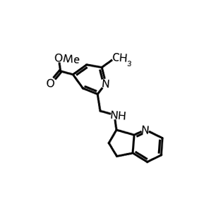 COC(=O)c1cc(C)nc(CNC2CCc3cccnc32)c1